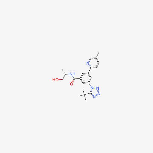 Cc1ccc(-c2cc(C(=O)N[C@@H](C)CO)cc(-n3nnnc3C(C)(C)C)c2)nc1